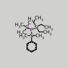 CC[Si](CC)(CC)P([Si](C)(C)C)[Si](C)(C)c1ccccc1